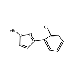 CC(C)(C)n1c[c]c(-c2ccccc2Cl)n1